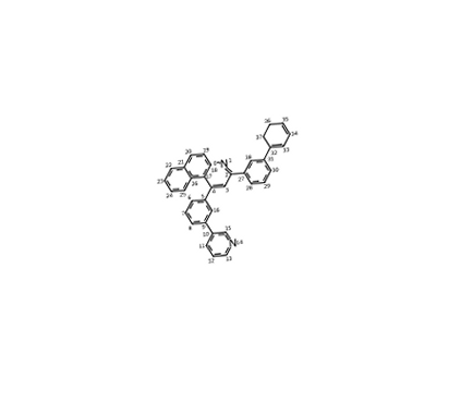 C/N=C(\C=C(\c1cccc(-c2cccnc2)c1)c1cccc2ccccc12)c1cccc(C2=CC=CCC2)c1